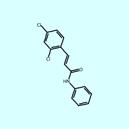 O=C(/C=C/c1ccc(Cl)cc1Cl)Nc1ccccc1